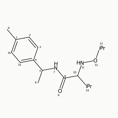 Cc1ccc(C(C)NC(=O)C(NOC(C)C)C(C)C)cc1